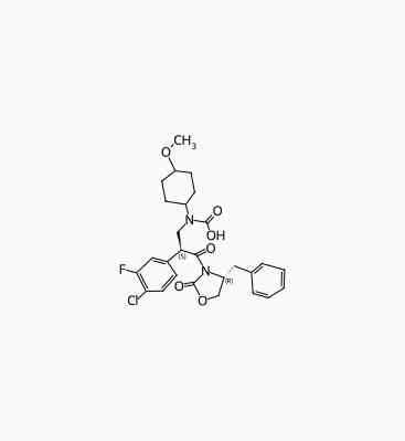 COC1CCC(N(C[C@@H](C(=O)N2C(=O)OC[C@H]2Cc2ccccc2)c2ccc(Cl)c(F)c2)C(=O)O)CC1